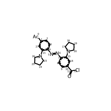 CC(=O)c1ccc(/N=N/c2ccc(C(=O)Cl)cc2N2CCCC2)c(N2CCCC2)c1